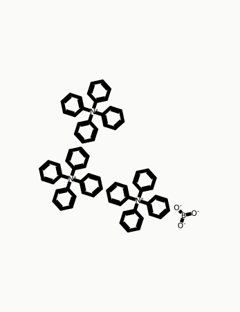 [O-]B([O-])[O-].c1ccc([N+](c2ccccc2)(c2ccccc2)c2ccccc2)cc1.c1ccc([N+](c2ccccc2)(c2ccccc2)c2ccccc2)cc1.c1ccc([N+](c2ccccc2)(c2ccccc2)c2ccccc2)cc1